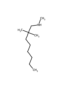 CCCCCCC(C)(C)CNC